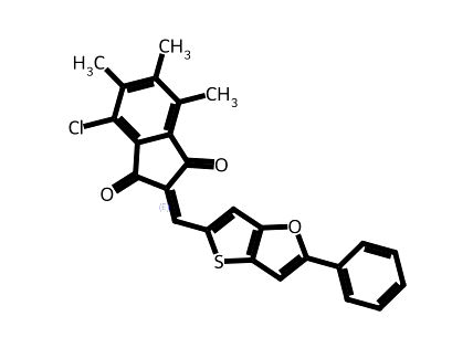 Cc1c(C)c(Cl)c2c(c1C)C(=O)/C(=C\c1cc3oc(-c4ccccc4)cc3s1)C2=O